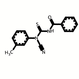 Cc1cccc(N(C#N)C(=S)NC(=O)c2ccccc2)c1